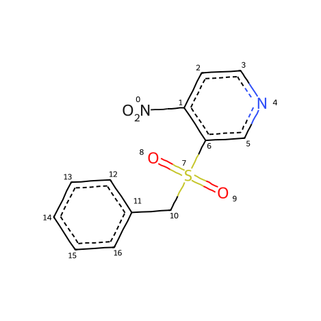 O=[N+]([O-])c1ccncc1S(=O)(=O)Cc1ccccc1